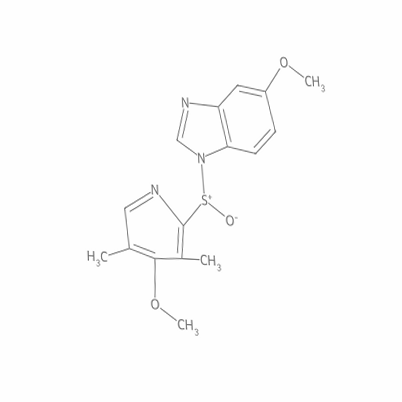 COc1ccc2c(c1)ncn2[S+]([O-])c1ncc(C)c(OC)c1C